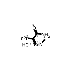 C=C(CCC)C(N)=O.CNC.Cl